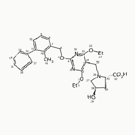 CCOc1nc(OCc2cccc(-c3ccccc3)c2C)nc(OCC)c1CN1C[C@H](O)C[C@H]1C(=O)O